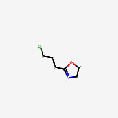 ClCCCC1=NCCO1